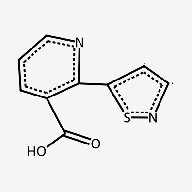 O=C(O)c1cccnc1-c1[c][c]ns1